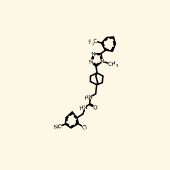 Cn1c(-c2ccccc2C(F)(F)F)nnc1C12CCC(CNC(=O)NCc3ccc(C#N)cc3Cl)(CC1)CC2